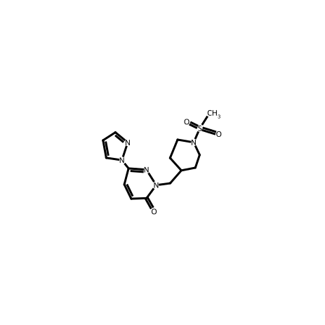 CS(=O)(=O)N1CCC(Cn2nc(-n3cccn3)ccc2=O)CC1